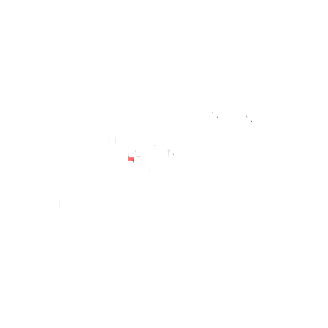 C[C@@H]1C2CN(c3ccc([N+](=O)[O-])nc3)C1CN2C(=O)OC(C)(C)C